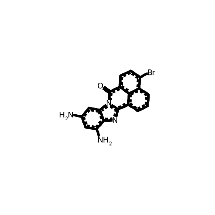 Nc1cc(N)c2nc3c4cccc5c(Br)ccc(c(=O)n3c2c1)c54